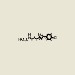 O=C(O)NCCCc1cc(-c2ccc(Cl)cc2)on1